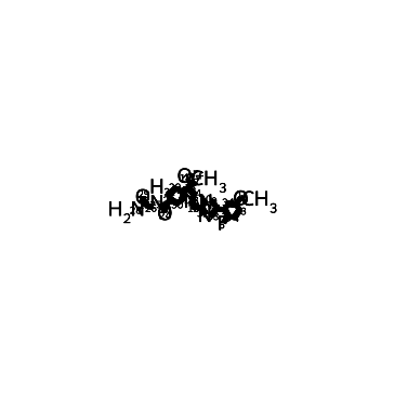 COc1ccc(F)c(-c2cnc(Cn3cc([S+](C)[O-])c4ccc(C(=O)NCC(N)=O)cc43)nc2)c1